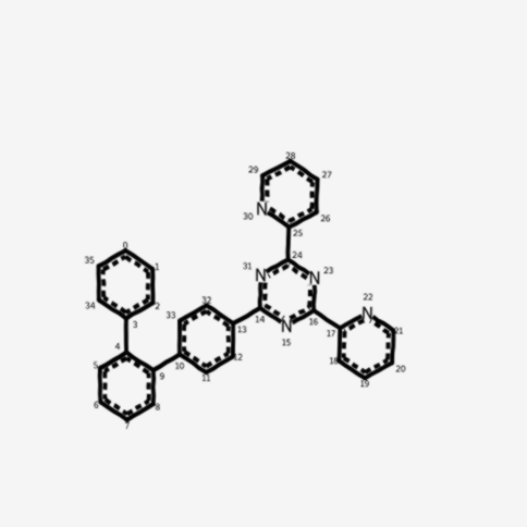 c1ccc(-c2ccccc2-c2ccc(-c3nc(-c4ccccn4)nc(-c4ccccn4)n3)cc2)cc1